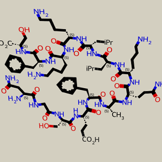 CC(C)C[C@H](NC(=O)[C@H](CCCCN)NC(=O)[C@H](CCC(N)=O)NC(=O)[C@H](C)NC(=O)[C@H](Cc1ccccc1)NC(=O)[C@H](CCC(=O)O)NC(=O)[C@H](CO)NC(=O)CNC(=O)[C@@H](N)CC(N)=O)C(=O)N[C@@H](CC(C)C)C(=O)N[C@@H](CCCCN)C(=O)N[C@@H](CCCCN)C(=O)N[C@@H](Cc1ccccc1)C(=O)N[C@@H](CO)C(=O)O